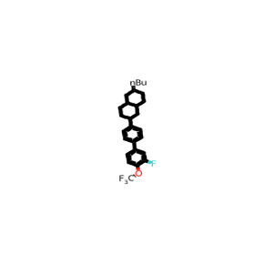 CCCCC1CCC2CC(c3ccc(-c4ccc(OC(F)(F)F)c(F)c4)cc3)CCC2C1